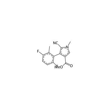 COC(=O)c1cn(C)c(C#N)c1-c1c(F)ccc(F)c1C